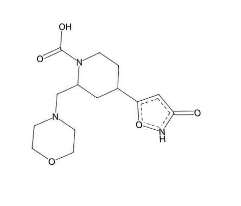 O=C(O)N1CCC(c2cc(=O)[nH]o2)CC1CN1CCOCC1